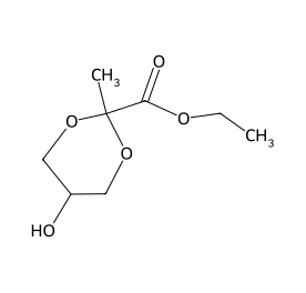 CCOC(=O)C1(C)OCC(O)CO1